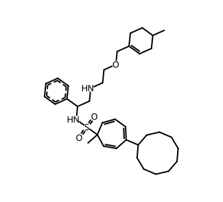 CC1CC=C(COCCNCC(NS(=O)(=O)C2(C)C=CC=C(C3CCCCCCCCC3)C=C2)c2ccccc2)CC1